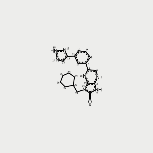 O=c1[nH]c2ncc(-c3cccc(-c4cn[nH]n4)c3)nc2n1CC1CCCCC1